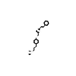 C(=Cc1nc(COc2ccc(CCCn3ncnn3)cc2)co1)c1ccccc1